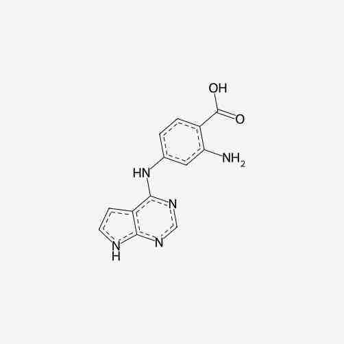 Nc1cc(Nc2ncnc3[nH]ccc23)ccc1C(=O)O